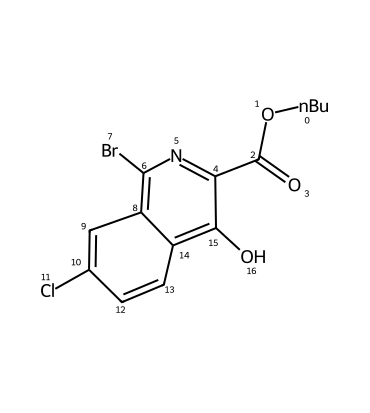 CCCCOC(=O)c1nc(Br)c2cc(Cl)ccc2c1O